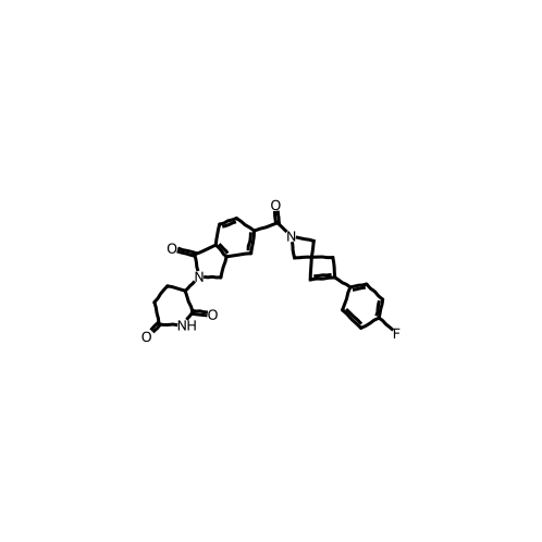 O=C1CCC(N2Cc3cc(C(=O)N4CC5(C=C(c6ccc(F)cc6)C5)C4)ccc3C2=O)C(=O)N1